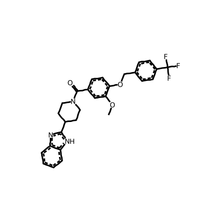 COc1cc(C(=O)N2CCC(c3nc4ccccc4[nH]3)CC2)ccc1OCc1ccc(C(F)(F)F)cc1